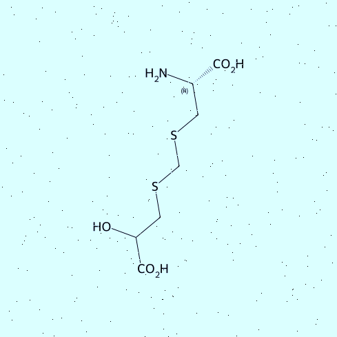 N[C@@H](CSCSCC(O)C(=O)O)C(=O)O